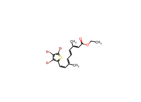 CCOC(=O)C=C(C)C=CC=C(C)/C=C\c1sc(Br)c(Br)c1Br